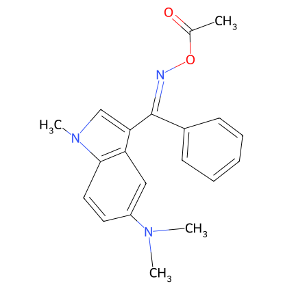 CC(=O)O/N=C(\c1ccccc1)c1cn(C)c2ccc(N(C)C)cc12